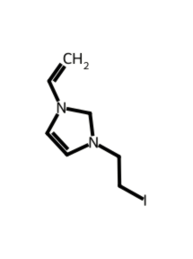 C=CN1C=CN(CCI)C1